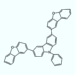 c1ccc(-n2c3ccc(-c4ccc5oc6ccccc6c5c4)cc3c3cc(-c4ccc5oc6ccccc6c5c4)ccc32)cc1